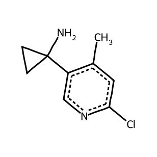 Cc1cc(Cl)ncc1C1(N)CC1